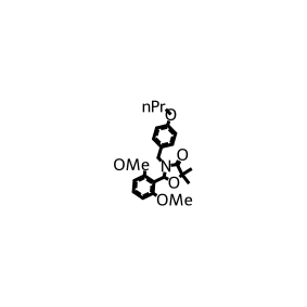 CCCOc1ccc(CN2C(=O)C(C)(C)OC2c2c(OC)cccc2OC)cc1